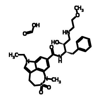 CCn1cc2c3c(cc(C(=O)N[C@@H](Cc4ccccc4)[C@H](O)CNCCOC)cc31)N(C)S(=O)(=O)CC2.O=CO